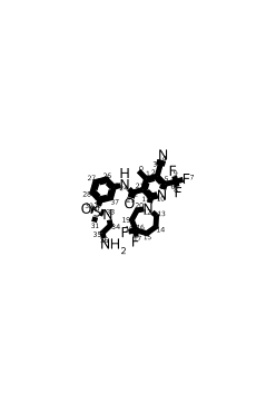 Cc1c(C#N)c(C(F)(F)F)nc(N2CCCC(F)(F)CC2)c1C(=O)Nc1cccc(S(C)(=O)=NCCN)c1